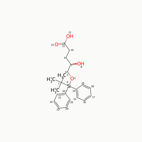 CC(C)(C)[Si](OC[C@H](O)CCC(=O)O)(c1ccccc1)c1ccccc1